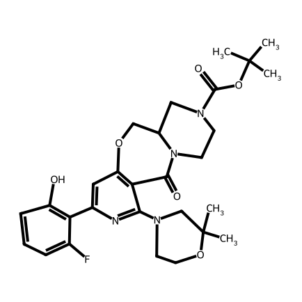 CC(C)(C)OC(=O)N1CCN2C(=O)c3c(cc(-c4c(O)cccc4F)nc3N3CCOC(C)(C)C3)OCC2C1